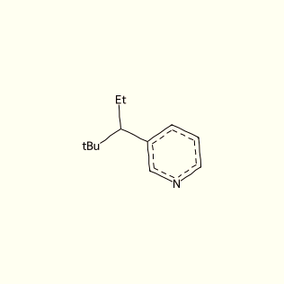 [CH2]CC(c1cccnc1)C(C)(C)C